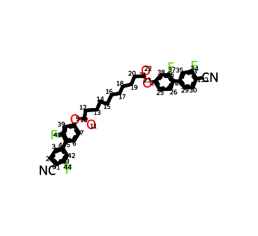 N#Cc1ccc(-c2ccc(OC(=O)CCCCCCCCCC(=O)Oc3ccc(-c4ccc(C#N)c(F)c4)c(F)c3)cc2F)cc1F